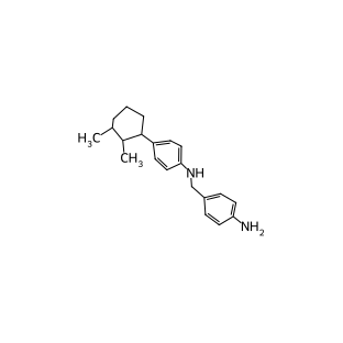 CC1CCCC(c2ccc(NCc3ccc(N)cc3)cc2)C1C